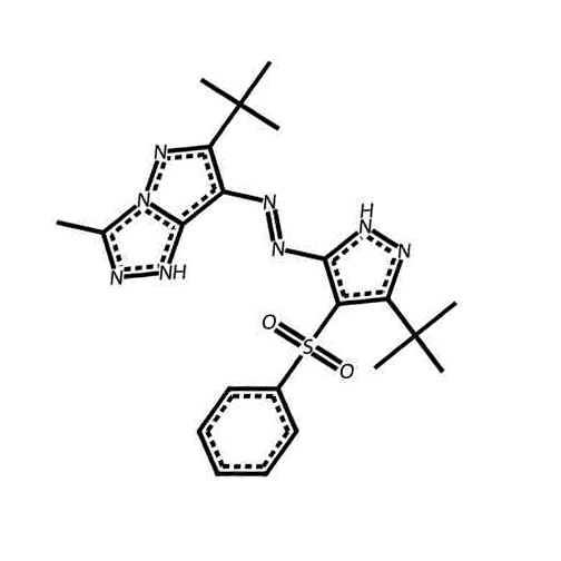 Cc1n[nH]c2c(N=Nc3[nH]nc(C(C)(C)C)c3S(=O)(=O)c3ccccc3)c(C(C)(C)C)nn12